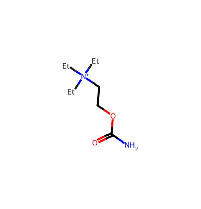 CC[N+](CC)(CC)CCOC(N)=O